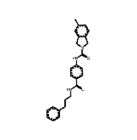 Cc1ccc2c(c1)CN(C(=O)Nc1ccc(C(=O)NCCCc3ccccc3)cc1)C2